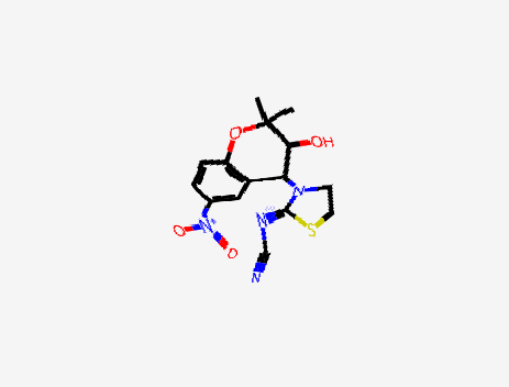 CC1(C)Oc2ccc([N+](=O)[O-])cc2C(N2CCS/C2=N\C#N)C1O